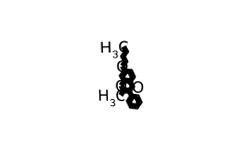 CCCCOc1ccc2c(=O)c(-c3ccccc3)c(C)oc2c1